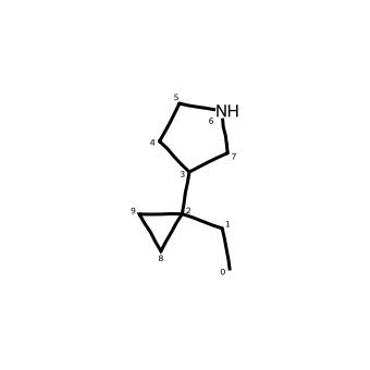 CCC1(C2CCNC2)CC1